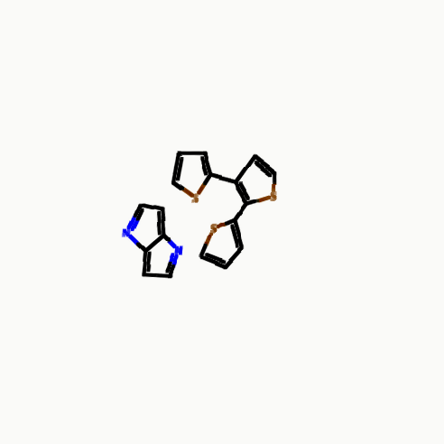 C1=NC2=CC=NC2=C1.c1csc(-c2ccsc2-c2cccs2)c1